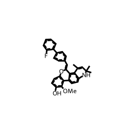 COc1c(O)ccc2c1-c1ccc3c(c1/C(=C/c1ccc(-c4ccccc4F)cc1)O2)C(C)=CC(C)(C)N3